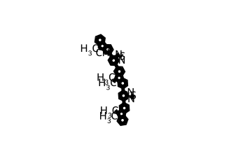 CC1(C)c2ccccc2-c2ccc(-c3ccc(-c4ccc5c(c4)C(C)(C)c4cc(-c6ccc(-c7ccc8c(c7)C(C)(C)c7ccccc7-8)c7nsnc67)ccc4-5)c4nsnc34)cc21